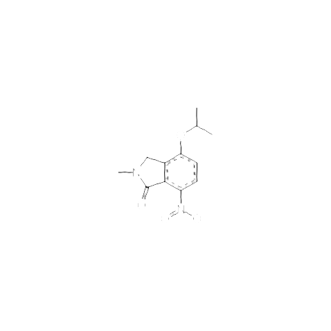 CC(C)Oc1ccc([N+](=O)[O-])c2c1CN(C)C2=O